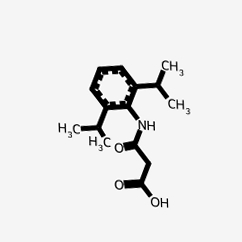 CC(C)c1cccc(C(C)C)c1NC(=O)CC(=O)O